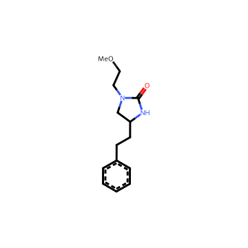 COCCN1CC(CCc2ccccc2)NC1=O